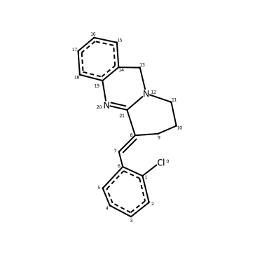 Clc1ccccc1/C=C1\CCCN2Cc3ccccc3N=C12